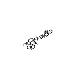 COc1ccc(N2CCN(C[C@@H](C)[C@@H]3CC[C@@H](C)[C@]4(O)[C][C@@H](OC(C)=O)C(C)=C[C@H]34)CC2)nn1